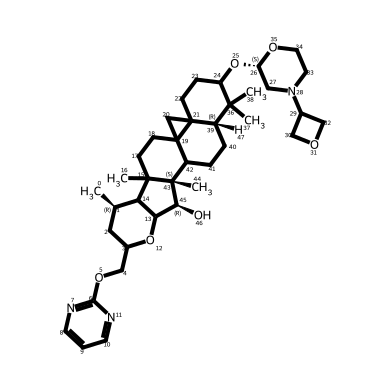 C[C@@H]1CC(COc2ncccn2)OC2C1C1(C)CCC34CC35CCC(O[C@H]3CN(C6COC6)CCO3)C(C)(C)[C@@H]5CCC4[C@]1(C)[C@H]2O